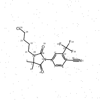 CC1(C)C(=O)N(c2ccc(C#N)c(C(F)(F)F)c2)C(=O)N1CCCCCl